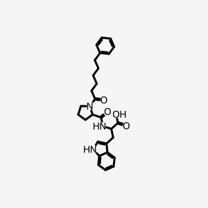 O=C(O)C(Cc1c[nH]c2ccccc12)NC(=O)C1CCCN1C(=O)CCCCCc1ccccc1